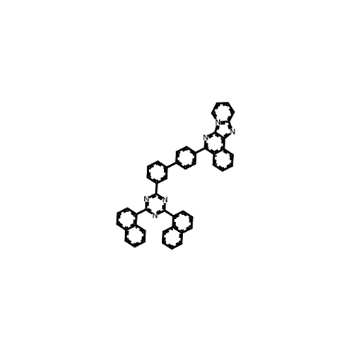 c1cc(-c2ccc(-c3nc4c(nc5ccccn54)c4ccccc34)cc2)cc(-c2nc(-c3cccc4ccccc34)nc(-c3cccc4ccccc34)n2)c1